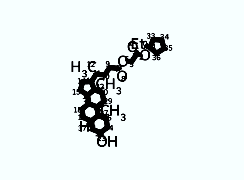 CCC1(OC(=O)COC(=O)CCC(C)C2CCC3C4CC[C@H]5CC(O)CCC5(C)C4CCC23C)CCCC1